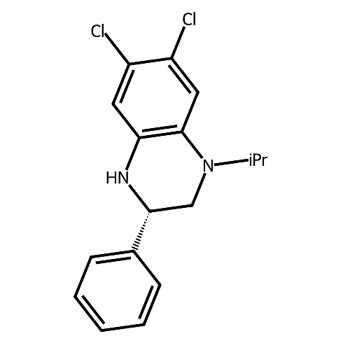 CC(C)N1C[C@H](c2ccccc2)Nc2cc(Cl)c(Cl)cc21